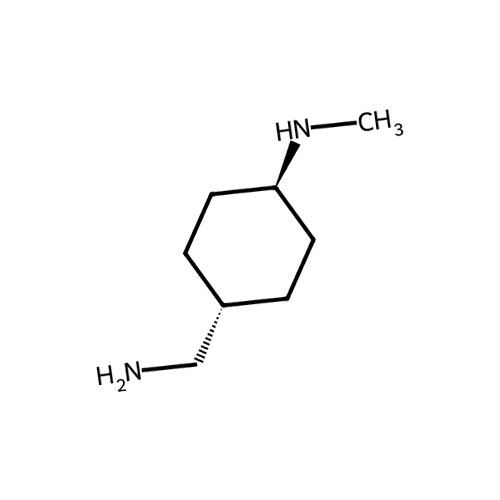 CN[C@H]1CC[C@H](CN)CC1